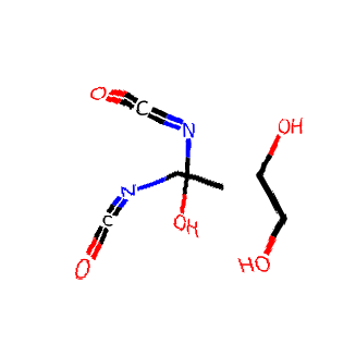 CC(O)(N=C=O)N=C=O.OCCO